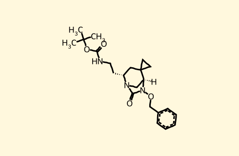 CC(C)(C)OC(=O)NCC[C@@H]1CC2(CC2)[C@@H]2CN1C(=O)N2OCc1ccccc1